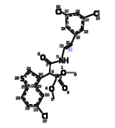 COP(=O)(OC)C(C(=O)N/C=C/c1cc(Cl)cc(Cl)c1)c1csc2ccc(Cl)cc12